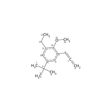 C=C=Cc1cc(C(C)(C)C)cc(CC)c1OC